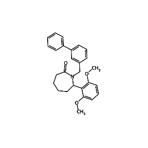 COc1cccc(OC)c1C1CCCCC(=O)N1Cc1cccc(-c2ccccc2)c1